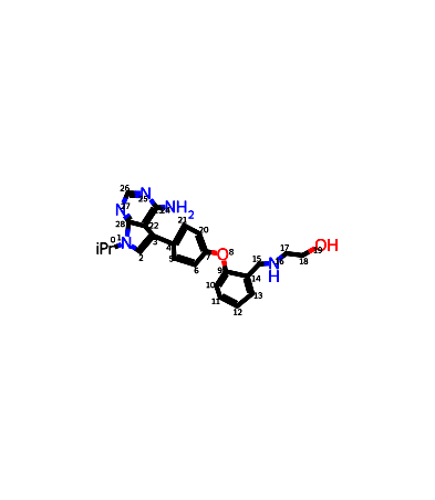 CC(C)n1cc(-c2ccc(Oc3ccccc3CNCCO)cc2)c2c(N)ncnc21